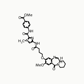 COC(=O)c1ccc(NC(=O)c2nc(NC(=O)CCCOc3cc4c(cc3OC)C(=O)N3CCCC[C@@H]3C=N4)cn2C)cc1